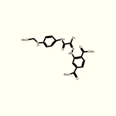 COCNc1ccc(NC(=O)/C(=N\Nc2cc(C(=O)OC)ccc2C(=O)OC)C(C)=O)cc1